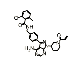 C=CC(=O)N1CCCC(n2nc(-c3ccc(CNC(=O)c4c(C)cccc4Cl)cc3)c3c(N)ncnc32)C1